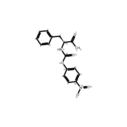 CC(=O)[C@H](Cc1ccccc1)NC(=O)Oc1ccc([N+](=O)[O-])cc1